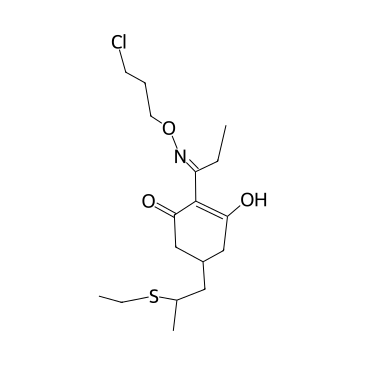 CCSC(C)CC1CC(=O)C(C(CC)=NOCCCCl)=C(O)C1